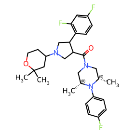 C[C@@H]1CN(C(=O)C2CN(C3CCOC(C)(C)C3)CC2c2ccc(F)cc2F)C[C@H](C)N1c1ccc(F)cc1